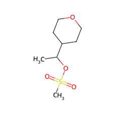 CC(OS(C)(=O)=O)C1CCOCC1